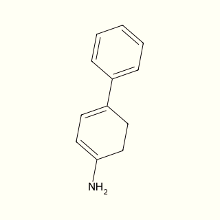 NC1=CC=C(c2ccccc2)CC1